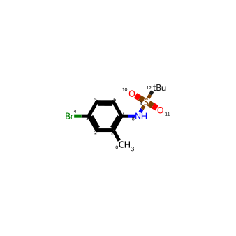 Cc1cc(Br)ccc1NS(=O)(=O)C(C)(C)C